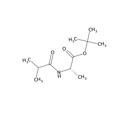 CC(C)C(=O)N[C@@H](C)C(=O)OC(C)(C)C